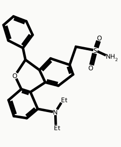 CCN(CC)c1cccc2c1-c1ccc(CS(N)(=O)=O)cc1C(c1ccccc1)O2